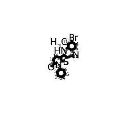 Cc1c(Br)cccc1Nc1c(C#N)sc2c1ccc(=O)n2-c1ccccc1